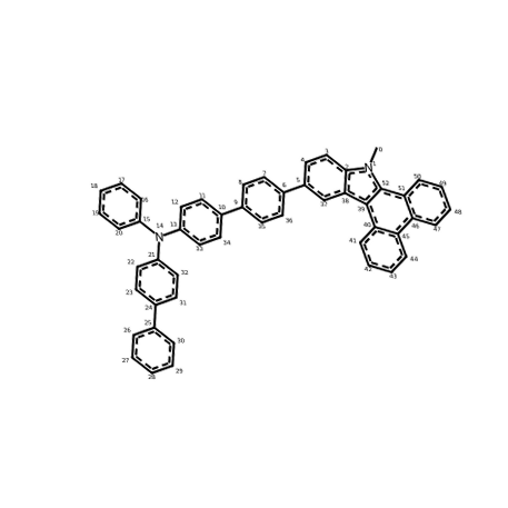 Cn1c2ccc(-c3ccc(-c4ccc(N(c5ccccc5)c5ccc(-c6ccccc6)cc5)cc4)cc3)cc2c2c3ccccc3c3ccccc3c21